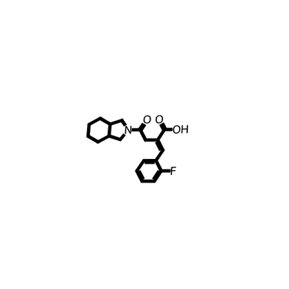 O=C(O)/C(=C/c1ccccc1F)CC(=O)N1CC2CCCCC2C1